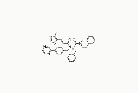 Cc1ncsc1C=CC(=O)N(Cc1ccc(-c2cnccn2)cc1)[C@@H](Cc1ccccc1)C(=O)N1CCc2ccccc2C1